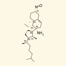 CC[C@H]1[C@](N)([C@@H]2CC[C@H]([C@H](C)CCCC(C)C)[C@@H]2C)CC=C2C[C@@H](N=O)CC[C@@]21C